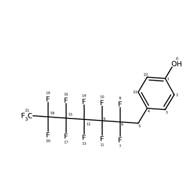 Oc1ccc(CC(F)(F)C(F)(F)C(F)(F)C(F)(F)C(F)(F)C(F)(F)F)cc1